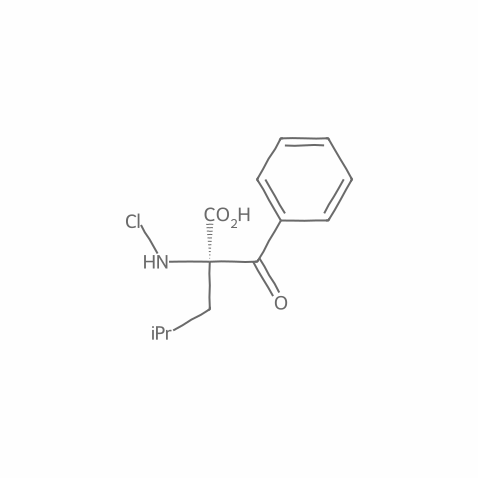 CC(C)C[C@](NCl)(C(=O)O)C(=O)c1ccccc1